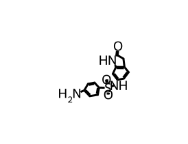 Nc1ccc(S(=O)(=O)Nc2ccc3c(c2)NC(=O)C3)cc1